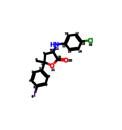 CC1(c2ccc(I)cc2)CC(Nc2ccc(Cl)cc2)C(=O)O1